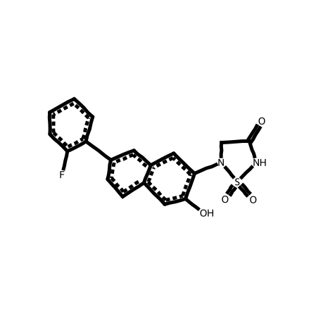 O=C1CN(c2cc3cc(-c4ccccc4F)ccc3cc2O)S(=O)(=O)N1